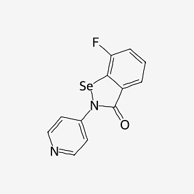 O=c1c2cccc(F)c2[se]n1-c1ccncc1